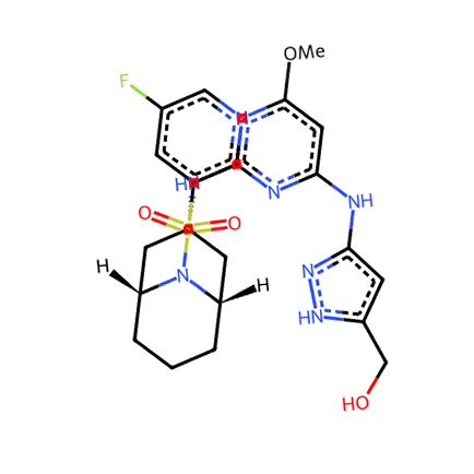 COc1cc(Nc2cc(CO)[nH]n2)nc(N[C@H]2C[C@H]3CCC[C@@H](C2)N3S(=O)(=O)c2cncc(F)c2)n1